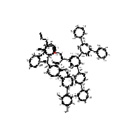 C=C/C=C(C=C)/C=C/C=C(\C=C)c1cc(-c2nc(-c3ccccc3)nc(-c3ccccc3)n2)cc(-c2ccc(-c3ccccc3)cc2)c1-n1c2ccc(-c3c(C)cc(C)cc3C)cc2c2ccc(-n3c4ccccc4c4ccccc43)cc21